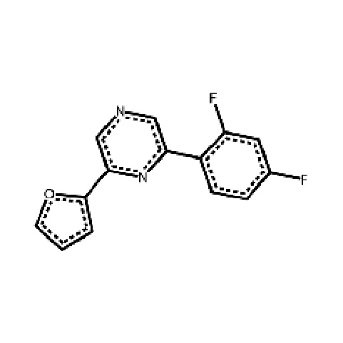 Fc1ccc(-c2cncc(-c3ccco3)n2)c(F)c1